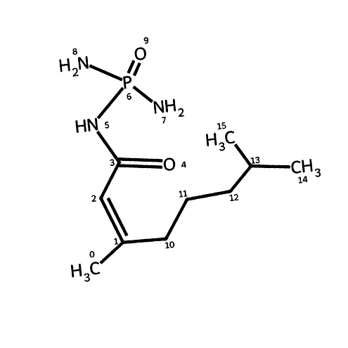 CC(=CC(=O)NP(N)(N)=O)CCCC(C)C